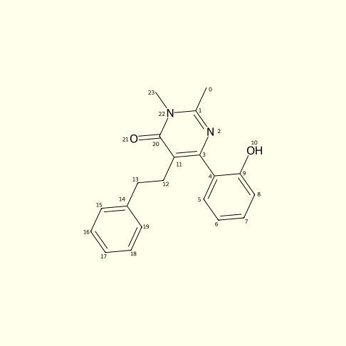 Cc1nc(-c2ccccc2O)c(CCc2ccccc2)c(=O)n1C